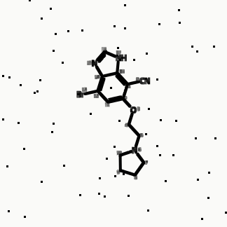 N#Cc1c(OCCN2CCCC2)cc(Br)c2nc[nH]c12